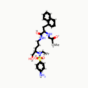 COC(=O)CNC(Cc1cccc2ccccc12)C(=O)NCCCC(CO)N(CC(C)C)S(=O)(=O)c1ccc(N)cc1